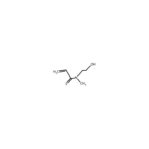 C=CC(=S)N(C)CCO